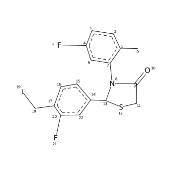 Cc1ccc(F)cc1N1C(=O)CSC1c1ccc(CI)c(F)c1